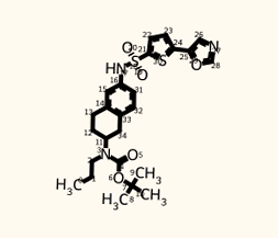 CCCN(C(=O)OC(C)(C)C)C1CCc2cc(NS(=O)(=O)c3ccc(-c4cnco4)s3)ccc2C1